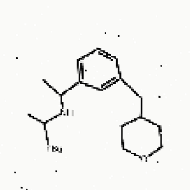 CCCCC(C)NC(C)c1cccc(CC2CCOCC2)c1